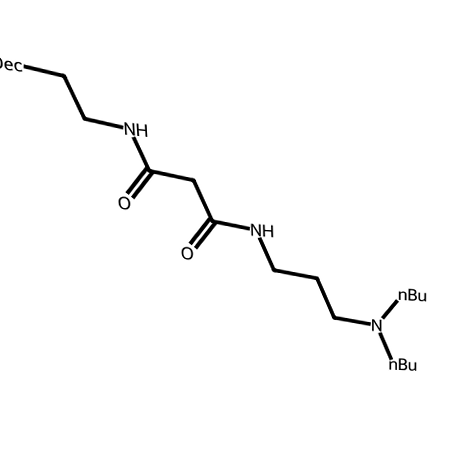 CCCCCCCCCCCCNC(=O)CC(=O)NCCCN(CCCC)CCCC